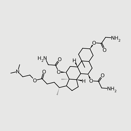 C[C@H](CCC(=O)OCCN(C)C)C1CC[C@H]2C3[C@H](OC(=O)CN)CC4C[C@H](OC(=O)CN)CCC4(C)[C@H]3C[C@H](OC(=O)CN)[C@]12C